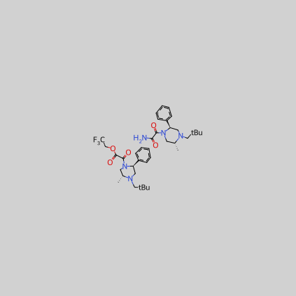 C[C@@H]1CN(C(=O)C(=O)OCC(F)(F)F)[C@@H](c2ccccc2)CN1CC(C)(C)C.C[C@@H]1CN(C(=O)C(N)=O)[C@@H](c2ccccc2)CN1CC(C)(C)C